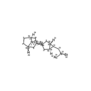 CCOC(=O)N1[C@H]2CC[C@H]1CC(N1C[C@@H]3C(CN(CC)C(C)=O)[C@H]3C1)C2